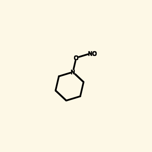 O=NON1CCCCC1